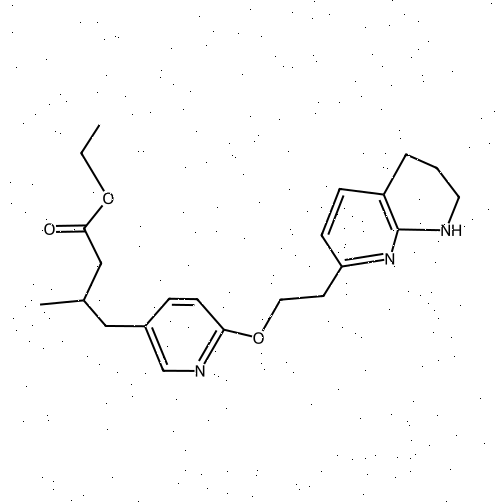 CCOC(=O)CC(C)Cc1ccc(OCCc2ccc3c(n2)NCCC3)nc1